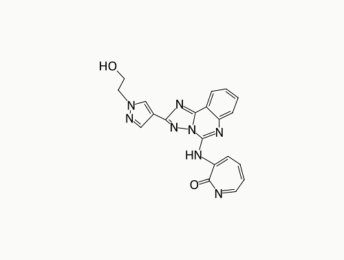 O=c1nccccc1Nc1nc2ccccc2c2nc(-c3cnn(CCO)c3)nn12